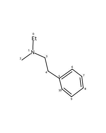 [CH2]CN(C)CCc1ccccc1